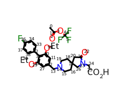 CC(=O)OC(F)(F)F.CCOc1cc(CN2CCC3(CC2)CC(=O)N(CC(=O)O)C3)cc(OCC)c1-c1ccc(F)cc1